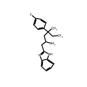 CC(CC(N)Cc1nc2ccccc2[nH]1)(CC(F)(F)F)c1ccc(F)cc1